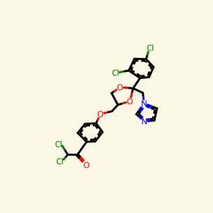 O=C(c1ccc(OCC2COC(Cn3ccnc3)(c3ccc(Cl)cc3Cl)O2)cc1)C(Cl)Cl